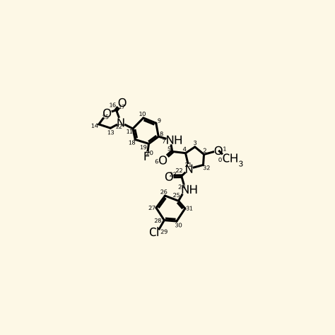 COC1CC(C(=O)Nc2ccc(N3CCOC3=O)cc2F)N(C(=O)Nc2ccc(Cl)cc2)C1